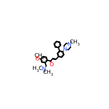 COc1ccc(C(=O)C=Cc2ccc(N3CCN(C)CC3)c(-c3ccccc3)c2)c(CN(C)C)c1